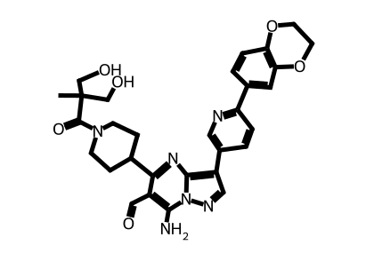 CC(CO)(CO)C(=O)N1CCC(c2nc3c(-c4ccc(-c5ccc6c(c5)OCCO6)nc4)cnn3c(N)c2C=O)CC1